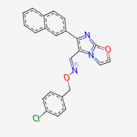 Clc1ccc(CO/N=C/c2c(-c3ccc4ccccc4c3)nc3occn23)cc1